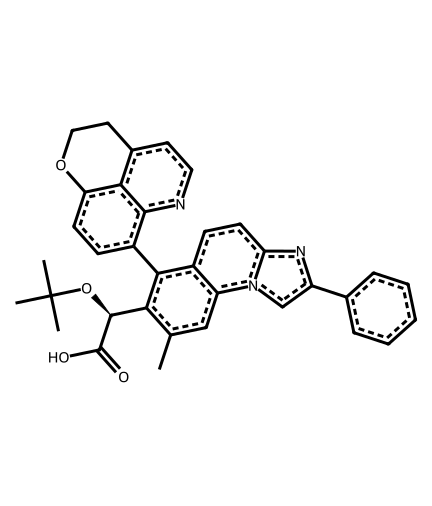 Cc1cc2c(ccc3nc(-c4ccccc4)cn32)c(-c2ccc3c4c(ccnc24)CCO3)c1[C@H](OC(C)(C)C)C(=O)O